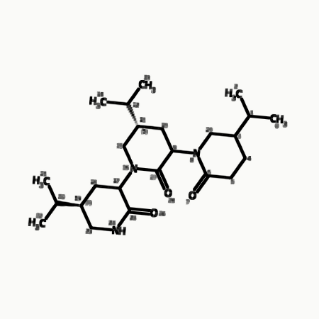 CC(C)C1CCC(=O)N(C2C[C@@H](C(C)C)CN(C3C[C@H](C(C)C)CNC3=O)C2=O)C1